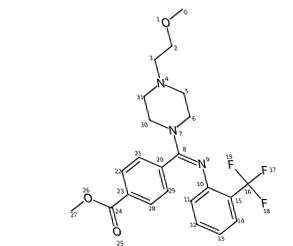 COCCN1CCN(C(=Nc2ccccc2C(F)(F)F)c2ccc(C(=O)OC)cc2)CC1